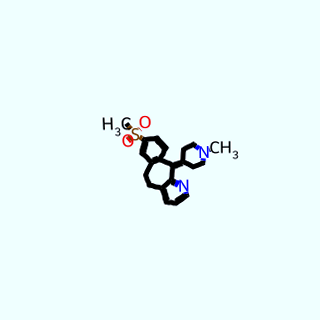 CN1CCC(=C2c3ccc(S(C)(=O)=O)cc3CCc3cccnc32)CC1